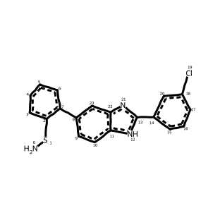 NSc1ccccc1-c1ccc2[nH]c(-c3cccc(Cl)c3)nc2c1